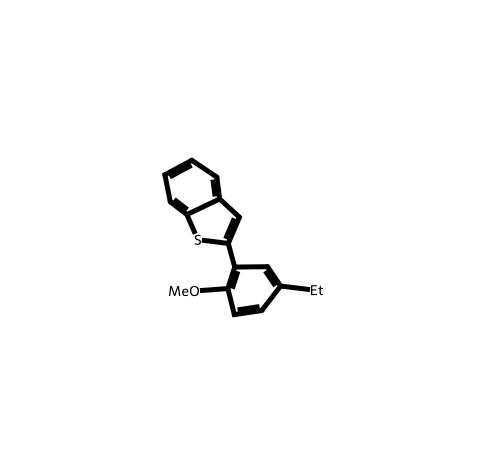 CCc1ccc(OC)c(-c2cc3ccccc3s2)c1